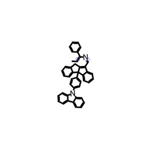 C/C=C(/N=C\C1=C2Cc3ccccc3C2(c2ccc(-n3c4ccccc4c4ccccc43)cc2)c2ccccc21)c1ccccc1